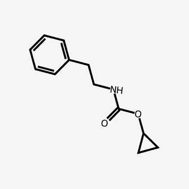 O=C(NCCc1ccccc1)OC1CC1